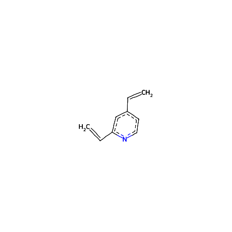 C=Cc1ccnc(C=C)c1